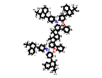 CC(C)(C)c1ccc(-c2ccc(N(c3ccc(-c4ccc(C(C)(C)C)c5ccccc45)cc3)c3cc4c(c5c3oc3ccccc35)-c3ccc5c(c3C4(C)C)C(C)(C)c3cc(N(c4ccc(-c6ccc(C(C)(C)C)c7ccccc67)cc4)c4ccc(-c6ccc(C(C)(C)C)c7ccccc67)cc4)c4oc6ccccc6c4c3-5)cc2)c2ccccc12